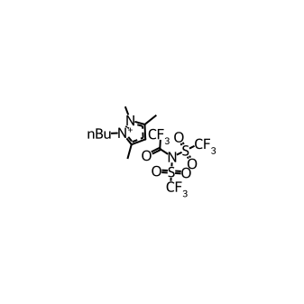 CCCC[n+]1c(C)cc(C)n1C.O=C(N(S(=O)(=O)C(F)(F)F)S(=O)(=O)C(F)(F)F)C(F)(F)F